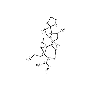 CCCC12CC13CCC1(C)C(C4(C)CCCO4)C(O)C[C@@]1(C)C3CCC2C(C)C=O